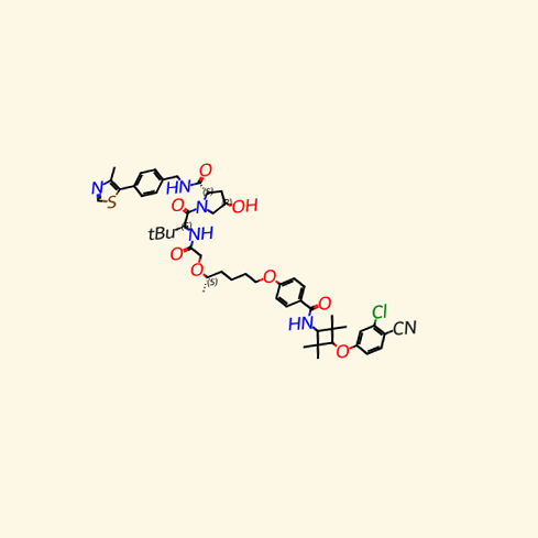 Cc1ncsc1-c1ccc(CNC(=O)[C@@H]2C[C@@H](O)CN2C(=O)[C@@H](NC(=O)CO[C@@H](C)CCCCOc2ccc(C(=O)NC3C(C)(C)C(Oc4ccc(C#N)c(Cl)c4)C3(C)C)cc2)C(C)(C)C)cc1